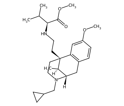 COC(=O)[C@@H](NCC[C@@]12CCN(CC3CC3)[C@@H](Cc3ccc(OC)cc31)[C@H]2C)C(C)C